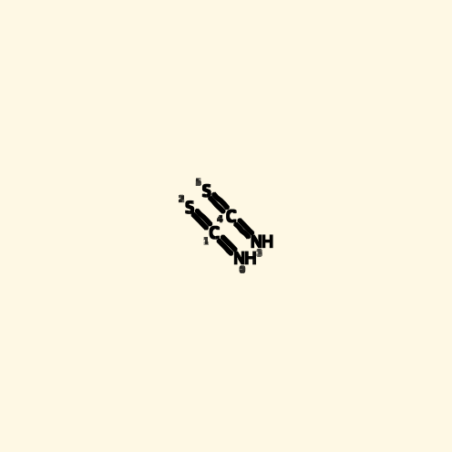 N=C=S.N=C=S